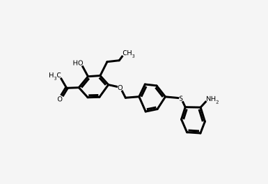 CCCc1c(OCc2ccc(Sc3ccccc3N)cc2)ccc(C(C)=O)c1O